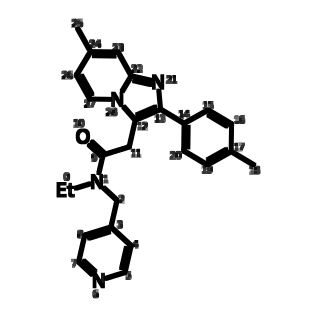 CCN(Cc1ccncc1)C(=O)Cc1c(-c2ccc(C)cc2)nc2cc(C)ccn12